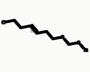 CCOCOCC/C=C/CCCl